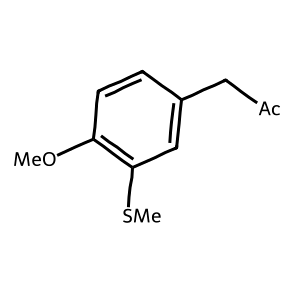 COc1ccc(CC(C)=O)cc1SC